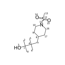 CC(C)(O)C(C)(C)CC1CCN(S(C)(=O)=O)CC1